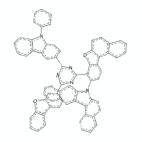 c1ccc(-n2c3ccccc3c3cc(-c4nc(-c5ccc6c(c5)oc5ccccc56)nc(-c5c(-n6c7cc8ccccc8cc7c7c8ccccc8ccc76)ccc6c5oc5ccc7ccccc7c56)n4)ccc32)cc1